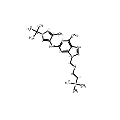 COc1nc(Nc2cn(C(C)(C)C#N)nc2C)nc2c1ncn2COCC[Si](C)(C)C